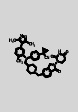 Cc1ccc(-c2c(C)noc2C)cc1N(CC1CCN(Cc2ccc3c(c2)CN(N2CCC(=O)NC2=O)C3=O)CC1)c1ccc(C2(C#N)CC2)cc1